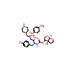 COc1ccc(S(=O)(=O)N(CC2CCNCC2)C[C@@H](O)[C@H](Cc2ccc(O)cc2)NC(=O)OC2CO[C@H]3OCC[C@@H]23)cc1